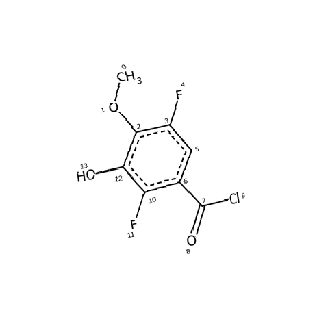 COc1c(F)cc(C(=O)Cl)c(F)c1O